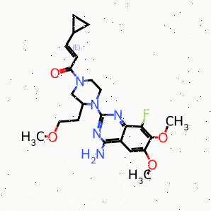 COCCC1CN(C(=O)/C=C/C2CC2)CCN1c1nc(N)c2cc(OC)c(OC)c(F)c2n1